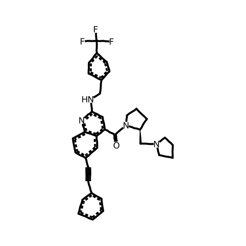 O=C(c1cc(NCc2ccc(C(F)(F)F)cc2)nc2ccc(C#Cc3ccccc3)cc12)N1CCC[C@H]1CN1CCCC1